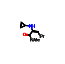 CNC(=O)C(=CC(C)C)NC1CC1